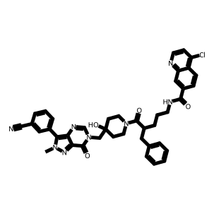 Cn1nc2c(=O)n(CC3(O)CCN(C(=O)C(CCCNC(=O)c4ccc5c(Cl)ccnc5c4)Cc4ccccc4)CC3)cnc2c1-c1cccc(C#N)c1